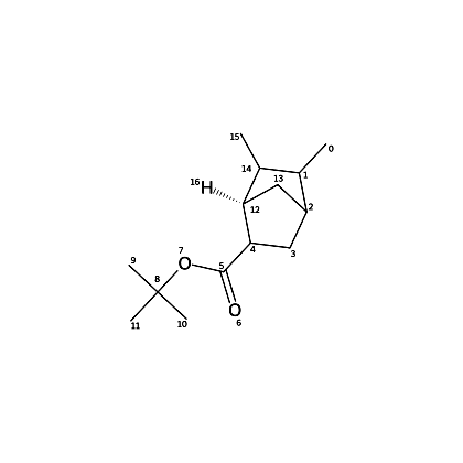 CC1C2CC(C(=O)OC(C)(C)C)[C@H](C2)C1C